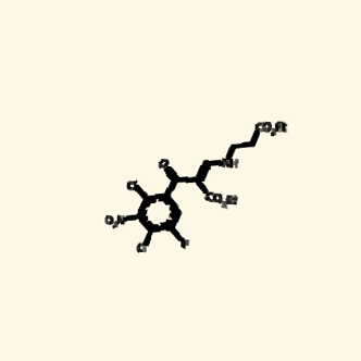 CCOC(=O)CCN/C=C(\C(=O)OCC)C(=O)c1cc(F)c(Cl)c([N+](=O)[O-])c1Cl